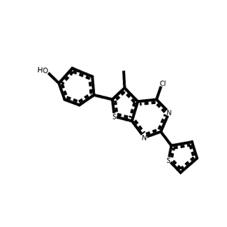 Cc1c(-c2ccc(O)cc2)sc2nc(-c3cccs3)nc(Cl)c12